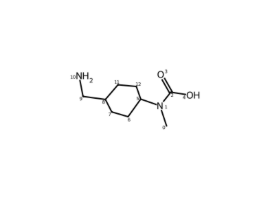 CN(C(=O)O)C1CCC(CN)CC1